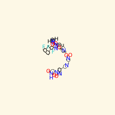 C#Cc1c(F)ccc2cccc(-c3c(F)cc4c(N5C[C@H]6CC[C@@H](C5)N6C(=O)OC(C)(C)C)nc(OC[C@@]56CCCN5[C@H](COC(=O)N5CCC(CN7CCC(c8ccc9c(c8)n(C)c(=O)n9C8CCC(=O)NC8=O)CC7)CC5)CC6)nc4c3F)c12